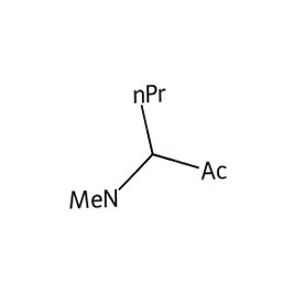 CCCC(NC)C(C)=O